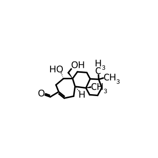 CC1(C)CCC[C@@]2(C)C1CC[C@@]1(CO)[C@@H](O)CC(C=O)=CC[C@@H]12